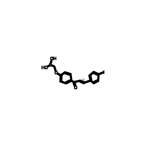 O=C(/C=C/c1ccc(I)cc1)c1ccc(OCB(O)O)cc1